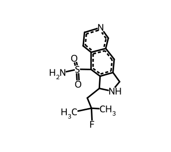 CC(C)(F)CC1NCc2cc3cnccc3c(S(N)(=O)=O)c21